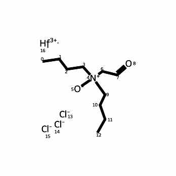 CCCC[N+]([O-])(CC=O)CCCC.[Cl-].[Cl-].[Cl-].[Hf+3]